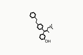 CC(CN(C)C)=C(c1ccc(CCc2ccccc2)cc1)c1cccc(O)c1